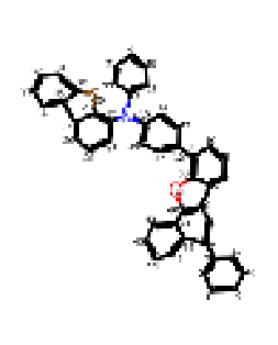 c1ccc(-c2cc3c4cccc(-c5ccc(N(c6ccccc6)c6cccc7c6sc6ccccc67)cc5)c4oc3c3ccccc23)cc1